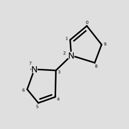 C1=CN(C2C=CC[N]2)CC1